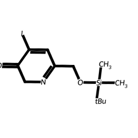 CC(C)(C)[Si](C)(C)OCC1=NCC(=O)C(I)=C1